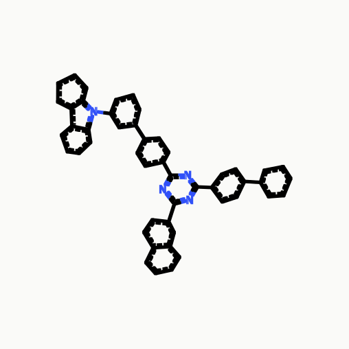 c1ccc(-c2ccc(-c3nc(-c4ccc(-c5cccc(-n6c7ccccc7c7ccccc76)c5)cc4)nc(-c4ccc5ccccc5c4)n3)cc2)cc1